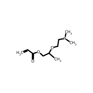 C=CC(=O)OCC(C)OCCN(C)C